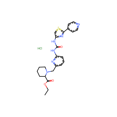 CCOC(=O)C1CCCCN1Cc1cccc(NC(=O)Nc2csc(-c3ccncc3)n2)n1.Cl